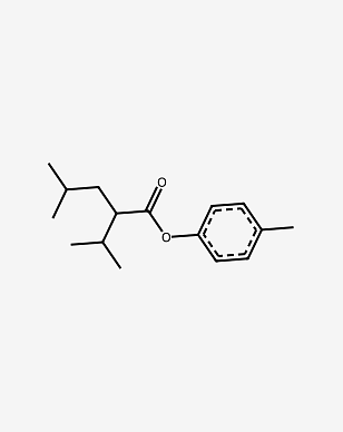 Cc1ccc(OC(=O)C(CC(C)C)C(C)C)cc1